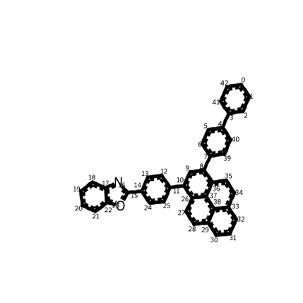 c1ccc(-c2ccc(-c3cc(-c4ccc(-c5nc6ccccc6o5)cc4)c4ccc5cccc6ccc3c4c65)cc2)cc1